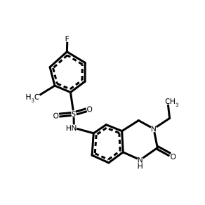 CCN1Cc2cc(NS(=O)(=O)c3ccc(F)cc3C)ccc2NC1=O